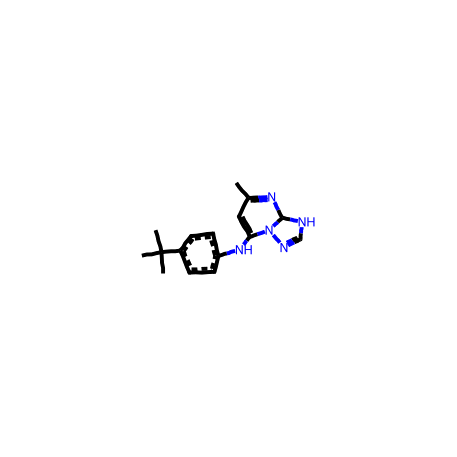 CC1=NC2NC=NN2C(Nc2ccc(C(C)(C)C)cc2)=C1